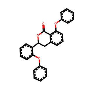 O=C1OC(c2ccccc2Oc2ccccc2)Cc2cccc(Oc3ccccc3)c21